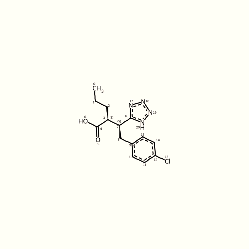 CCC[C@H](C(=O)O)[C@H](Cc1ccc(Cl)cc1)c1nnn[nH]1